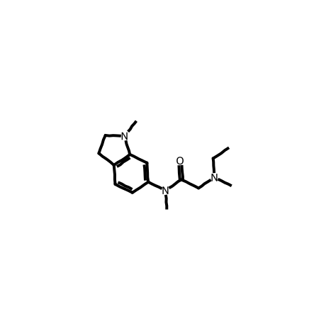 CCN(C)CC(=O)N(C)c1ccc2c(c1)N(C)CC2